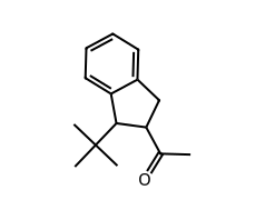 CC(=O)C1Cc2ccccc2C1C(C)(C)C